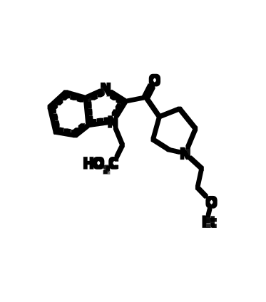 CCOCCN1CCC(C(=O)c2nc3ccccc3n2CC(=O)O)CC1